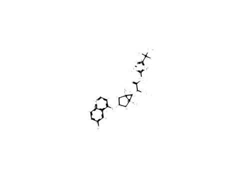 CC(C(=O)Nc1nnc(C(F)(F)F)[nH]1)[C@H]1[C@@H]2C[C@@H](Oc3ccnc4ccc(F)cc34)C[C@@H]21